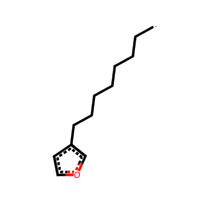 [CH2]CCCCCCCc1ccoc1